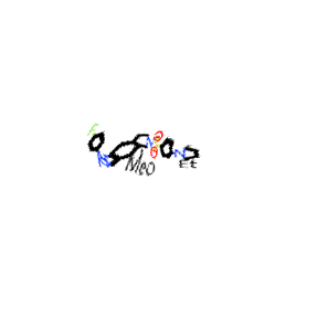 CC[C@@H]1CCCN1c1ccc(S(=O)(=O)N2CCC3=Cc4c(cnn4-c4ccc(F)cc4)C[C@]3(COC)C2)cc1